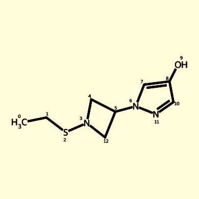 CCSN1CC(n2cc(O)cn2)C1